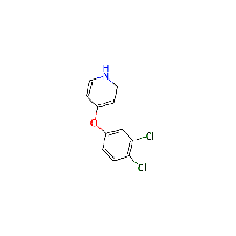 Clc1ccc(OC2=CCNC=[C]2)cc1Cl